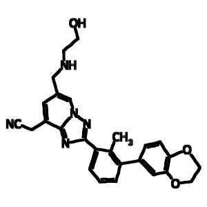 Cc1c(-c2ccc3c(c2)OCCO3)cccc1-c1nc2c(CC#N)cc(CNCCO)cn2n1